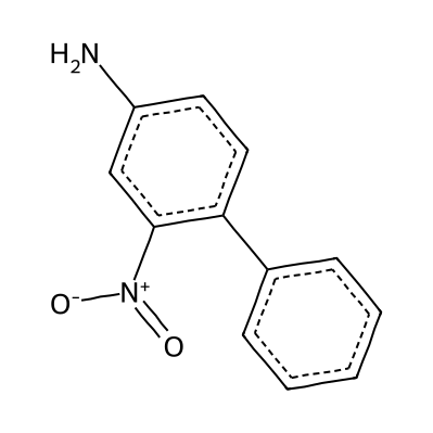 Nc1ccc(-c2ccccc2)c([N+](=O)[O-])c1